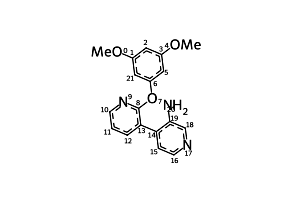 COc1cc(OC)cc(Oc2ncccc2-c2ccncc2N)c1